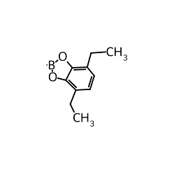 CCc1ccc(CC)c2c1O[B]O2